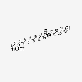 CCCCCCCC/C=C\CCCCCCCCCCCC(=O)OCCCCCCCl